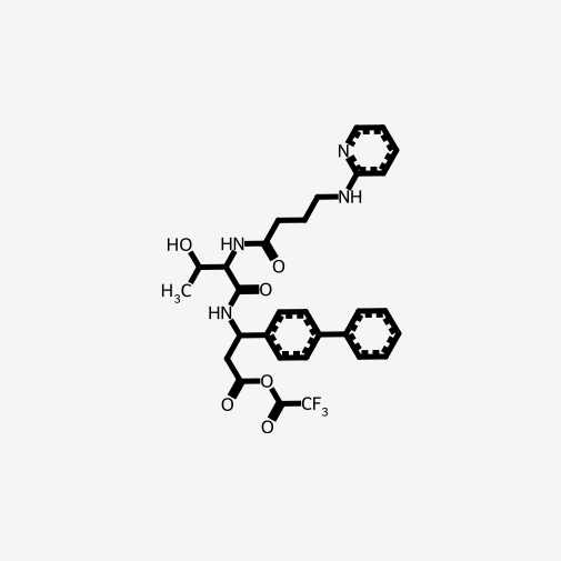 CC(O)C(NC(=O)CCCNc1ccccn1)C(=O)NC(CC(=O)OC(=O)C(F)(F)F)c1ccc(-c2ccccc2)cc1